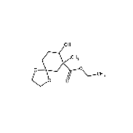 CCOC(=O)C1(C)CC2(CCC1O)OCCO2